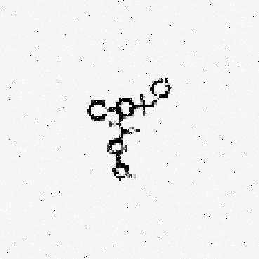 OC(Nc1cc(C(F)(F)CN2CCOCC2)ccc1N1CCCCC1)c1csc(-c2cn[nH]c2)n1